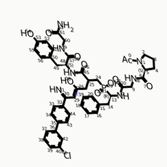 CC(=O)N1CCC[C@H]1C(=O)NCC(=O)N[C@@H](Cc1ccccc1)P(=O)(O)CC(C/C(O)=C/C(=N)c1ccc(-c2cccc(Cl)c2)cc1)C(=O)N[C@@H](Cc1ccc(O)cc1)C(=O)NCC(N)=O